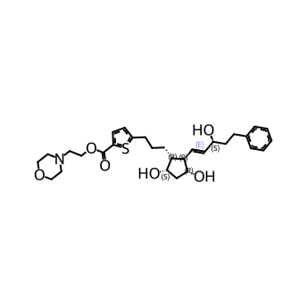 O=C(OCCN1CCOCC1)c1ccc(CCC[C@@H]2[C@@H](/C=C/[C@@H](O)CCc3ccccc3)[C@H](O)C[C@@H]2O)s1